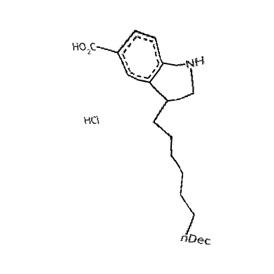 CCCCCCCCCCCCCCCCC1CNc2ccc(C(=O)O)cc21.Cl